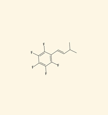 CC(C)/C=C/c1c(F)c(F)c(F)c(F)c1F